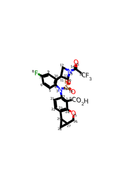 O=C(O)c1c(N(c2ccc(F)cc2C2CN(C(=O)C(F)(F)F)C2)[SH](=O)=O)ccc2c1OCC1CC21